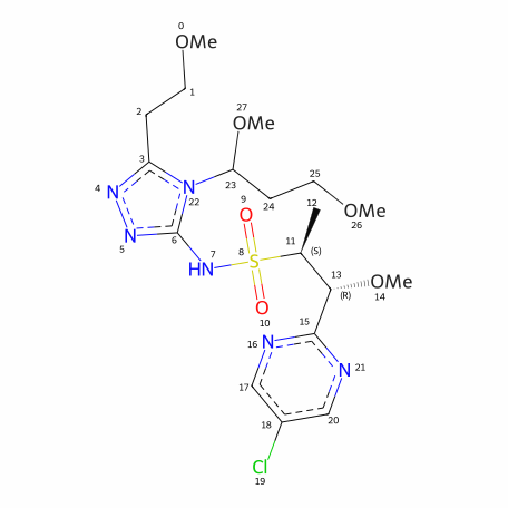 COCCc1nnc(NS(=O)(=O)[C@@H](C)[C@H](OC)c2ncc(Cl)cn2)n1C(CCOC)OC